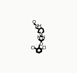 O=CNCC1CCCN(c2ncc(OCc3c(Cl)cccc3Cl)cn2)C1